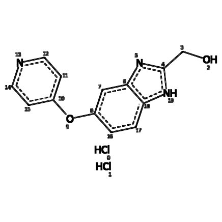 Cl.Cl.OCc1nc2cc(Oc3ccncc3)ccc2[nH]1